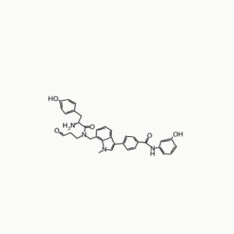 Cn1cc(-c2ccc(C(=O)Nc3cccc(O)c3)cc2)c2cccc(CN(CCC=O)C(=O)[C@@H](N)Cc3ccc(O)cc3)c21